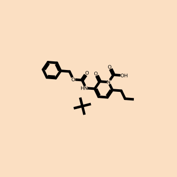 CC(C)(C)C.CCCc1ccc(NC(=O)OCc2ccccc2)c(=O)n1C(=O)O